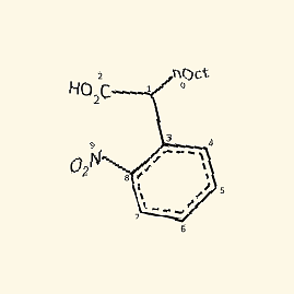 CCCCCCCCC(C(=O)O)c1ccccc1[N+](=O)[O-]